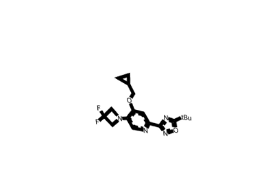 CC(C)(C)c1nc(-c2cc(OCC3CC3)c(N3CC(F)(F)C3)cn2)no1